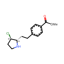 COC(=O)c1ccc(CC[C@@H]2NCC[C@H]2Cl)cc1